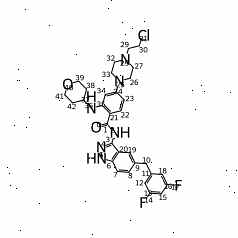 O=C(Nc1n[nH]c2ccc(Cc3cc(F)cc(F)c3)cc12)c1ccc(N2CCN(CCCl)CC2)cc1NC1CCOCC1